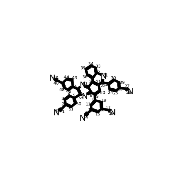 N#Cc1ccc(-c2nc3c(-c4cc(C#N)cc(C#N)c4)cc4c(-c5ccc(C#N)cc5)nc5ccccc5c4c3nc2-c2ccc(C#N)cc2)cc1